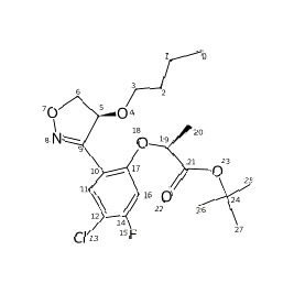 CCCCO[C@@H]1CON=C1c1cc(Cl)c(F)cc1O[C@@H](C)C(=O)OC(C)(C)C